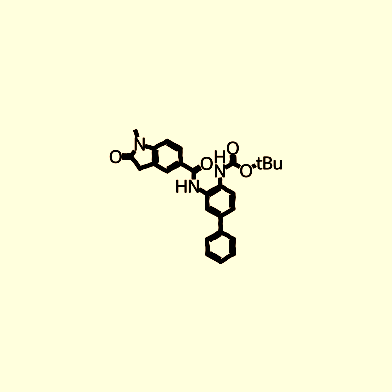 CN1C(=O)Cc2cc(C(=O)Nc3cc(-c4ccccc4)ccc3NC(=O)OC(C)(C)C)ccc21